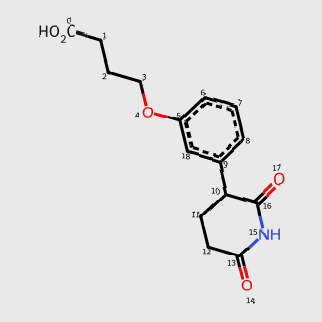 O=C(O)CCCOc1cccc(C2CCC(=O)NC2=O)c1